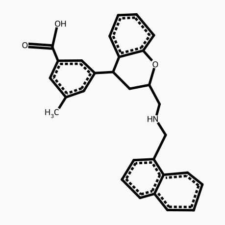 Cc1cc(C(=O)O)cc(C2CC(CNCc3cccc4ccccc34)Oc3ccccc32)c1